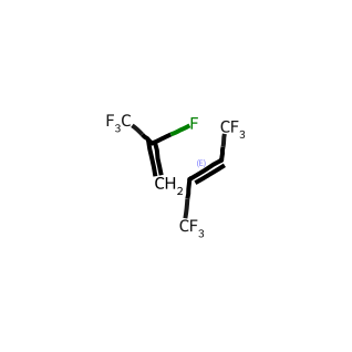 C=C(F)C(F)(F)F.FC(F)(F)/C=C/C(F)(F)F